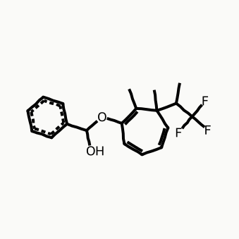 CC1=C(OC(O)c2ccccc2)C=CC=CC1(C)C(C)C(F)(F)F